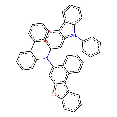 c1ccc(-c2ccccc2N(c2ccc3c4ccccc4n(-c4ccccc4)c3c2)c2cc3oc4ccccc4c3c3ccccc23)cc1